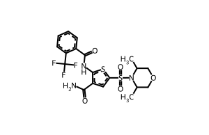 CC1COCC(C)N1S(=O)(=O)c1cc(C(N)=O)c(NC(=O)c2ccccc2C(F)(F)F)s1